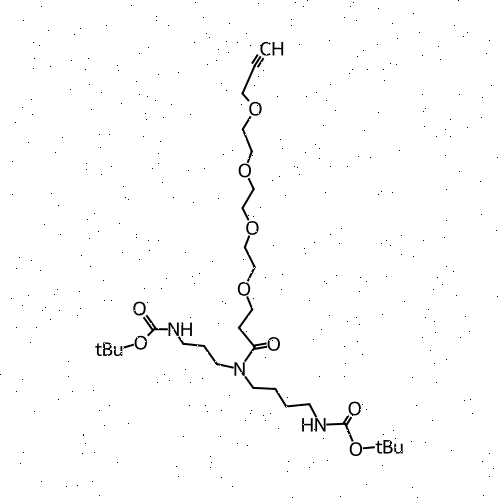 C#CCOCCOCCOCCOCCC(=O)N(CCCCNC(=O)OC(C)(C)C)CCCNC(=O)OC(C)(C)C